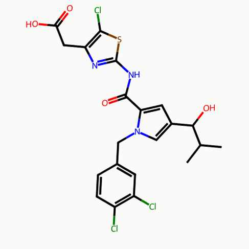 CC(C)C(O)c1cc(C(=O)Nc2nc(CC(=O)O)c(Cl)s2)n(Cc2ccc(Cl)c(Cl)c2)c1